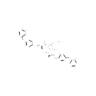 CN(C(=O)NCc1ccc(Oc2ccccc2)cc1)[C@H]1[C@@H](C(=O)O)[C@H](C(=O)O)[C@@H]1N(C)C(=O)NCc1ccc(Oc2ccccc2)cc1